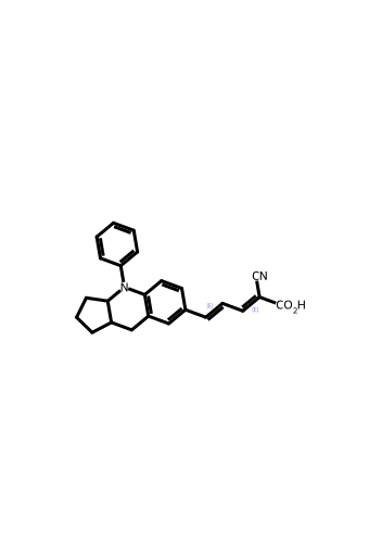 N#C/C(=C\C=C\c1ccc2c(c1)CC1CCCC1N2c1ccccc1)C(=O)O